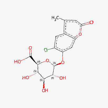 Cc1cc(=O)oc2cc(O[C@@H]3O[C@H](C(=O)O)[C@@H](O)[C@H](O)[C@H]3O)c(Cl)cc12